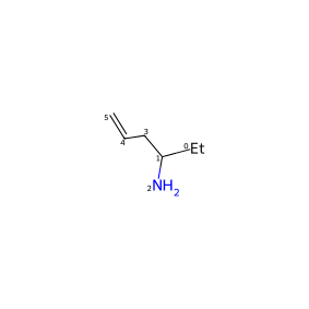 [CH2]CC(N)CC=C